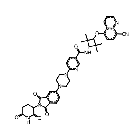 CC1(C)[C@H](NC(=O)c2ccc(N3CCN(c4ccc5c(c4)C(=O)N(C4CCC(=O)NC4=O)C5=O)CC3)nc2)C(C)(C)[C@H]1Oc1ccc(C#N)c2ncccc12